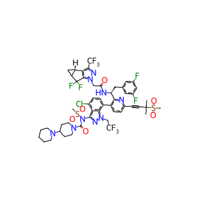 CC(C)(C#Cc1ccc(-c2ccc(Cl)c3c(N(C(=O)N4CCC(N5CCCCC5)CC4)S(C)(=O)=O)nn(CC(F)(F)F)c23)c([C@H](Cc2cc(F)cc(F)c2)NC(=O)Cn2nc(C(F)(F)F)c3c2C(F)(F)C2C[C@H]32)n1)S(C)(=O)=O